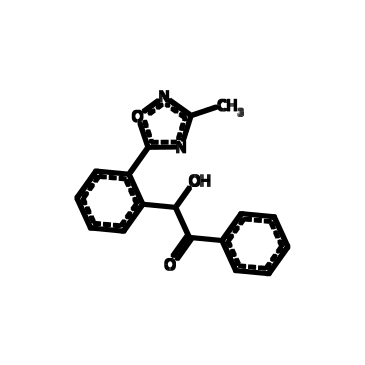 Cc1noc(-c2ccccc2C(O)C(=O)c2ccccc2)n1